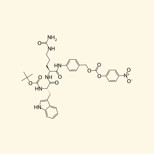 CC(C)(C)OC(=O)N[C@@H](Cc1c[nH]c2ccccc12)C(=O)N[C@@H](CCCNC(N)=O)C(=O)Nc1ccc(COC(=O)Oc2ccc([N+](=O)[O-])cc2)cc1